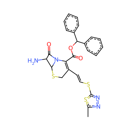 Cc1nnc(S/C=C/C2=C(C(=O)OC(c3ccccc3)c3ccccc3)N3C(=O)C(N)C3SC2)s1